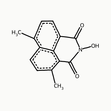 Cc1ccc2c(C)ccc3c2c1C(=O)N(O)C3=O